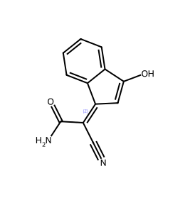 N#C/C(C(N)=O)=C1\C=C(O)c2ccccc21